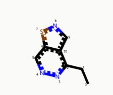 CCc1nncc2sncc12